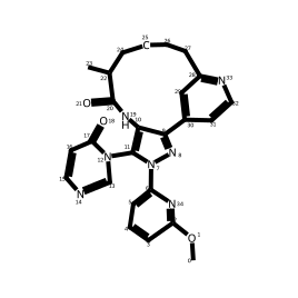 COc1cccc(-n2nc3c(c2-n2cnccc2=O)NC(=O)C(C)CCCCc2cc-3ccn2)n1